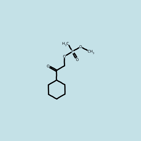 COP(C)(=O)OCC(=O)C1CCCCC1